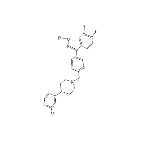 CCON=C(c1ccc(CN2CCC(c3ccc[n+]([O-])c3)CC2)nc1)c1ccc(F)c(F)c1